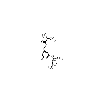 CNC[C@H](C)Oc1cc(F)cc(CCC(=O)C(C)C)c1